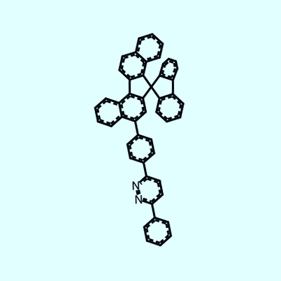 c1ccc(-c2ccc(-c3ccc(-c4cc5c(c6ccccc46)-c4ccc6ccccc6c4C54c5ccccc5-c5ccccc54)cc3)nn2)cc1